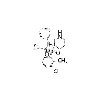 Cc1c(Cl)cccc1S(=O)(=O)[C@@]1(N(C(=O)C2CC2)c2ccccc2)CCCNC1